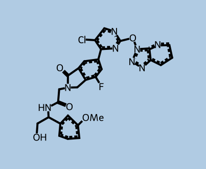 COc1cccc(C(CO)NC(=O)CN2Cc3c(F)cc(-c4nc(On5nnc6cccnc65)ncc4Cl)cc3C2=O)c1